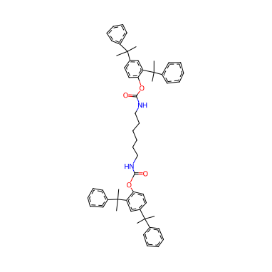 CC(C)(c1ccccc1)c1ccc(OC(=O)NCCCCCCNC(=O)Oc2ccc(C(C)(C)c3ccccc3)cc2C(C)(C)c2ccccc2)c(C(C)(C)c2ccccc2)c1